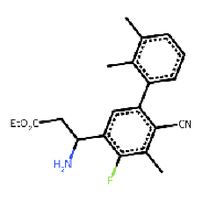 CCOC(=O)CC(N)c1cc(-c2cccc(C)c2C)c(C#N)c(C)c1F